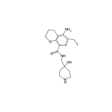 Nc1c(CI)cc(C(=O)NCC2(O)CCNCC2)c2c1CCCO2